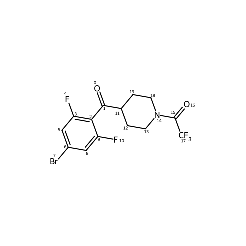 O=C(c1c(F)cc(Br)cc1F)C1CCN(C(=O)C(F)(F)F)CC1